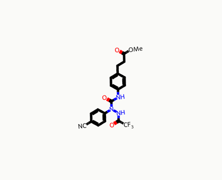 COC(=O)CCc1ccc(NC(=O)N(NC(=O)C(F)(F)F)c2ccc(C#N)cc2)cc1